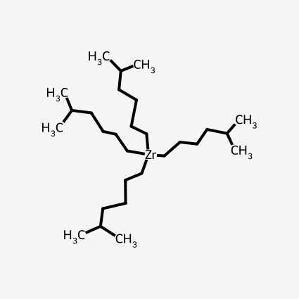 CC(C)CCC[CH2][Zr]([CH2]CCCC(C)C)([CH2]CCCC(C)C)[CH2]CCCC(C)C